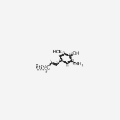 CCOC(=O)/C=C/c1ccc(O)c(N)c1.Cl